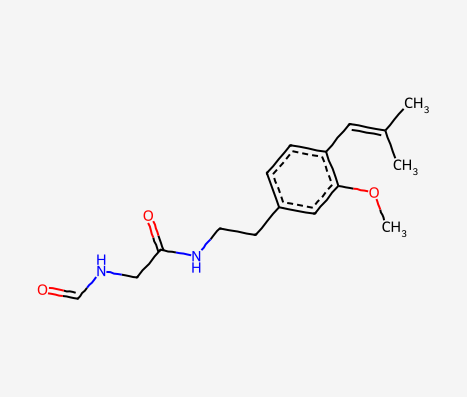 COc1cc(CCNC(=O)CNC=O)ccc1C=C(C)C